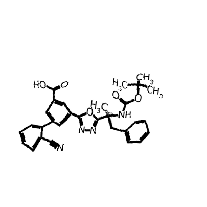 CC(C)(C)OC(=O)N[C@@](C)(Cc1ccccc1)c1nnc(-c2cc(C(=O)O)cc(-c3ccccc3C#N)c2)o1